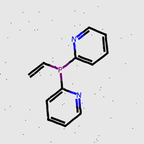 C=CP(c1ccccn1)c1ccccn1